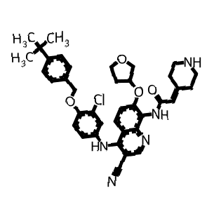 CC(C)(C)c1ccc(COc2ccc(Nc3c(C#N)cnc4c(NC(=O)C=C5CCNCC5)c(OC5CCOC5)ccc34)cc2Cl)cc1